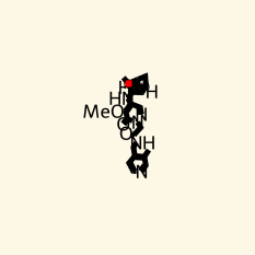 COc1c(NC2C[C@@H]3CC([C@H]2C)C3(C)C)cnn(CC(=O)NCc2ccncc2C)c1=O